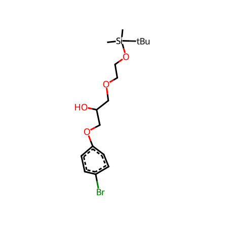 CC(C)(C)[Si](C)(C)OCCOCC(O)COc1ccc(Br)cc1